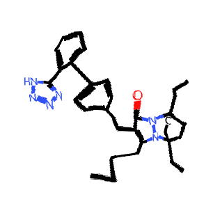 CCCCc1c(Cc2ccc(-c3ccccc3-c3nnn[nH]3)cc2)c(=O)n2n1C1(CC)CCC2(CC)CC1